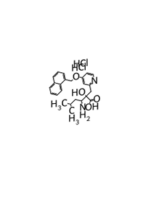 CC(C)C[C@H](N)[C@](O)(Cc1cc(OCc2cccc3ccccc23)ccn1)C(=O)O.Cl.Cl